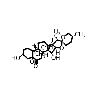 C[C@@H]1CC[C@@]2(OC1)O[C@H]1[C@H](O)[C@H]3[C@@H]4CC(=O)[C@@]5(O)C[C@@H](O)CC[C@]5(C)[C@H]4CC[C@]3(C)[C@H]1[C@@H]2C